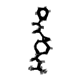 O=C(NC(=O)C1CC12CCN(C(=O)OC(C(F)(F)F)C(F)(F)F)CC2)c1ccccc1